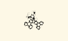 O=P(c1cc(C(F)(F)F)cc(C(F)(F)F)c1)(c1ccc2c3ccccc3c3ccccc3c2c1)c1ccc2c3ccccc3c3ccccc3c2c1